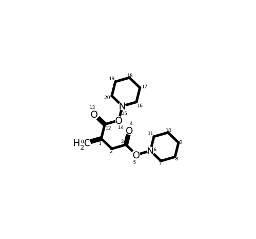 C=C(CC(=O)ON1CCCCC1)C(=O)ON1CCCCC1